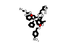 CC(=O)COC(=O)OCCC([N+]1(SC(=S)Cc2cnn[nH]2)C[C@@H](C(C)OC(=O)OCc2ccc([N+](=O)[O-])cc2)C1=O)=P(c1ccccc1)(c1ccccc1)c1ccccc1